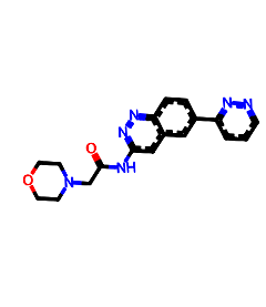 O=C(CN1CCOCC1)Nc1cc2cc(-c3cccnn3)ccc2nn1